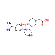 N=C(N)c1ccc([N+]2(C(=O)N3CCC(CC(=O)O)CC3)CCNCC2)cc1